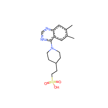 Cc1cc2ncnc(N3CCC(CCS(=O)(=O)O)CC3)c2cc1C